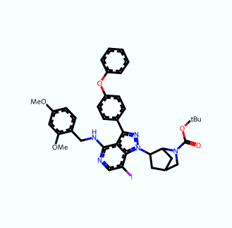 COc1ccc(CNc2ncc(I)c3c2c(-c2ccc(Oc4ccccc4)cc2)nn3C2CC3CC2N(C(=O)OC(C)(C)C)C3)c(OC)c1